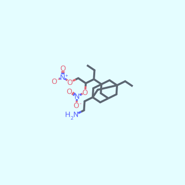 CCC(C(CO[N+](=O)[O-])O[N+](=O)[O-])C12CC3CC(CC)(CC(CCN)(C3)C1)C2